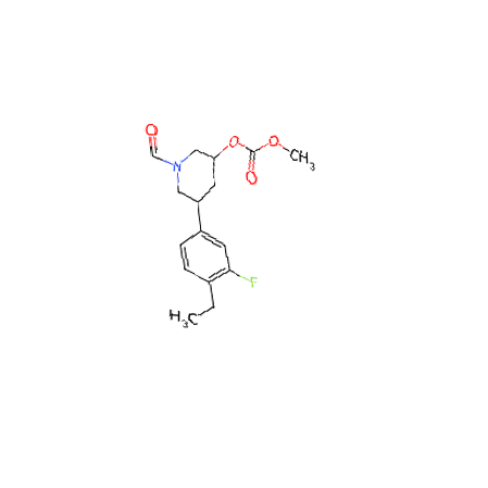 CCc1ccc(C2CC(OC(=O)OC)CN(C=O)C2)cc1F